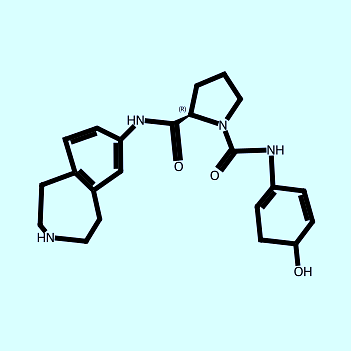 O=C(Nc1ccc2c(c1)CCNCC2)[C@H]1CCCN1C(=O)NC1=CCC(O)C=C1